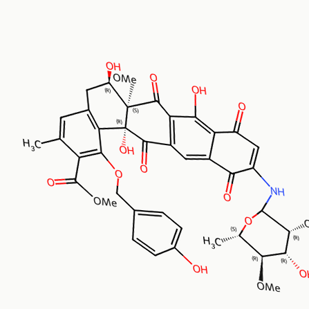 COC(=O)c1c(C)cc2c(c1OCc1ccc(O)cc1)[C@]1(O)C(=O)c3cc4c(c(O)c3C(=O)[C@]1(OC)[C@H](O)C2)C(=O)C=C(NC1O[C@@H](C)[C@H](OC)[C@@H](O)[C@H]1OC)C4=O